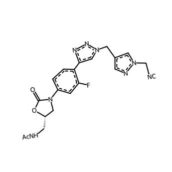 [C-]#[N+]Cn1cc(Cn2cc(-c3ccc(N4C[C@H](CNC(C)=O)OC4=O)cc3F)nn2)cn1